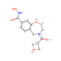 O=C(NO)c1ccc2c(c1)OCCN(C(=O)C1COC1)C2